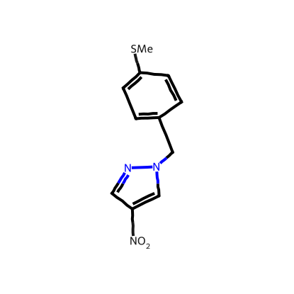 CSc1ccc(Cn2cc([N+](=O)[O-])cn2)cc1